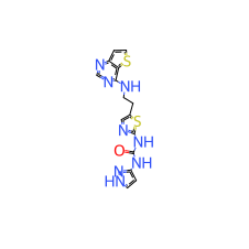 O=C(Nc1cc[nH]n1)Nc1ncc(CCNc2ncnc3ccsc23)s1